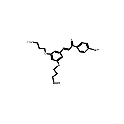 CCCCCCCCCCCCCOc1cc(C=CC(=S)c2ccc(CCC)cc2)cc(OCCCCCCCCCCCCC)c1